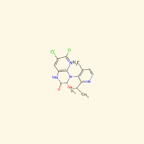 Cc1ccnc(C(C)C)c1N1c2nc(Cl)c(Cl)cc2NC(=O)C1O